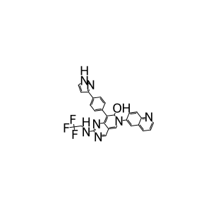 OC1C(c2ccc(-c3cc[nH]n3)cc2)=c2nc(NCC(F)(F)F)ncc2=CN1c1ccc2ncccc2c1